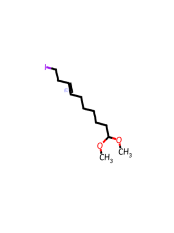 COC(CCCCC/C=C/CCI)OC